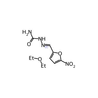 CCOCC.NC(=O)N/N=C/c1ccc([N+](=O)[O-])o1